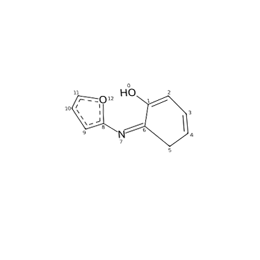 OC1=CC=CCC1=Nc1ccco1